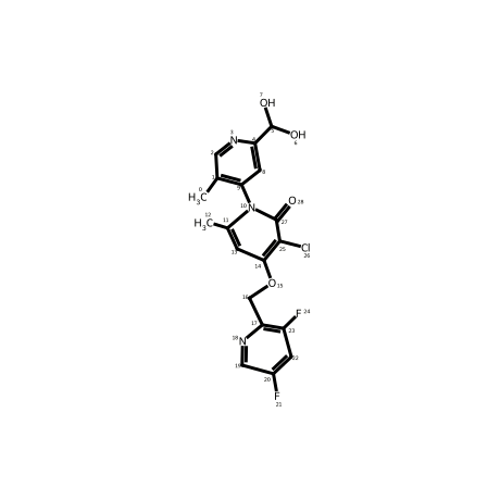 Cc1cnc(C(O)O)cc1-n1c(C)cc(OCc2ncc(F)cc2F)c(Cl)c1=O